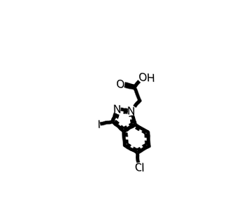 O=C(O)Cn1nc(I)c2cc(Cl)ccc21